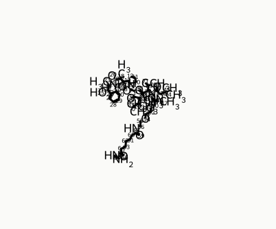 CC[C@H](C)[C@@H]([C@@H](CC(=O)N1CCC[C@H]1[C@H](OC)[C@@H](C)C(=O)N[C@H](C)[C@@H](O)c1ccccc1)OC)N(C)C(=O)[C@@H](NC(=O)C(C(C)C)N(C)C(=O)COCCOCCNC(=O)CCCCCC(=O)NN)C(C)C